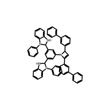 C1=C(c2cccc(-c3ccccc3)c2)N(c2cc(C3Nc4ccccc4N3c3ccccc3)cc(C3Nc4ccccc4N3c3ccccc3)c2)C1c1cccc(-c2ccccc2)c1